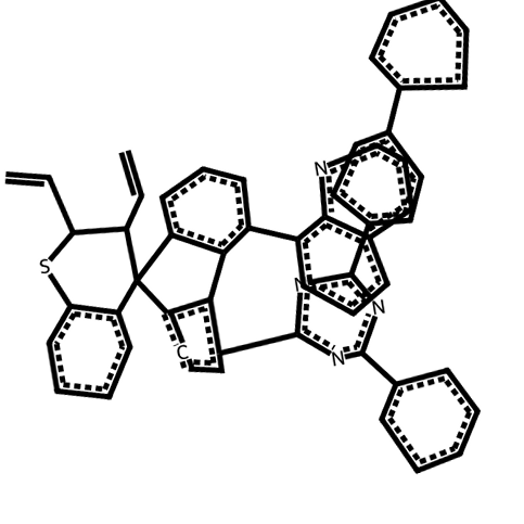 C=CC1Sc2ccccc2C2(c3cccc(-c4nc(-c5ccccc5)nc(-c5ccc(-c6ccccc6)cc5)n4)c3-c3c(-c4cccc5cccnc45)cccc32)C1C=C